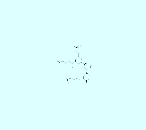 N=C(N)NCCC[C@H](NC(=O)[C@H](CO)NC(=O)[C@H](CCCNC(=N)N)NC(=O)[C@@H](N)CCCCN)C(=O)O